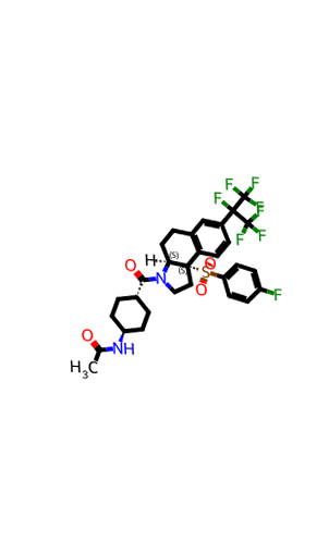 CC(=O)N[C@H]1CC[C@H](C(=O)N2CC[C@]3(S(=O)(=O)c4ccc(F)cc4)c4ccc(C(F)(C(F)(F)F)C(F)(F)F)cc4CC[C@H]23)CC1